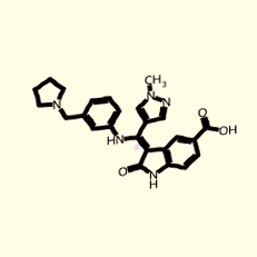 Cn1cc(/C(Nc2cccc(CN3CCCC3)c2)=C2/C(=O)Nc3ccc(C(=O)O)cc32)cn1